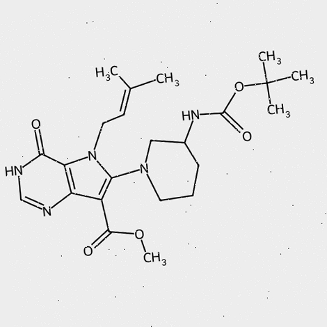 COC(=O)c1c(N2CCCC(NC(=O)OC(C)(C)C)C2)n(CC=C(C)C)c2c(=O)[nH]cnc12